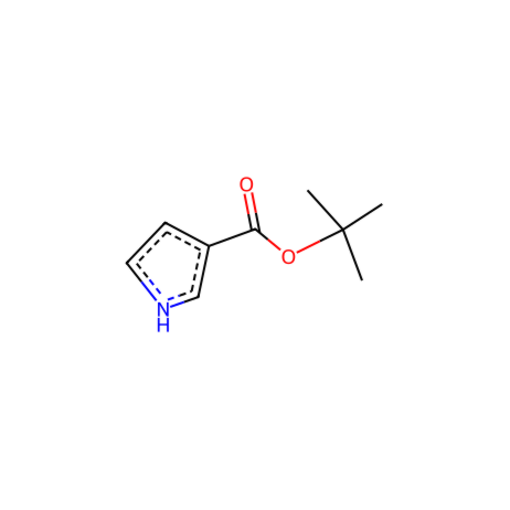 CC(C)(C)OC(=O)c1cc[nH]c1